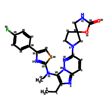 CCc1nc2ccc(N3CCC4(CNC(=O)O4)C3)nn2c1N(C)c1nc(-c2ccc(F)cc2)cs1